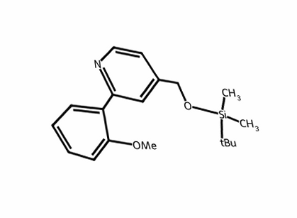 COc1ccccc1-c1cc(CO[Si](C)(C)C(C)(C)C)ccn1